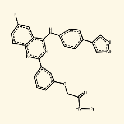 CC(C)NC(=O)COc1cccc(-c2nc(Nc3ccc(-c4cn[nH]c4)cc3)c3cc(F)ccc3n2)c1